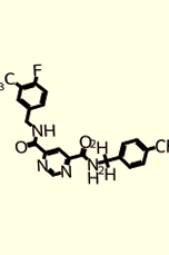 [2H]C([2H])(NC(=O)c1cc(C(=O)NCc2ccc(F)c(C)c2)ncn1)c1ccc(C)cc1